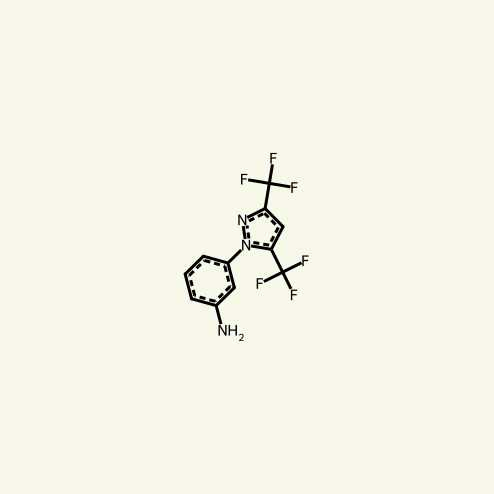 Nc1cccc(-n2nc(C(F)(F)F)cc2C(F)(F)F)c1